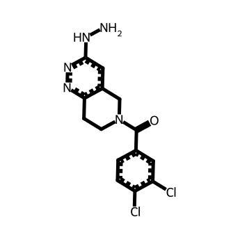 NNc1cc2c(nn1)CCN(C(=O)c1ccc(Cl)c(Cl)c1)C2